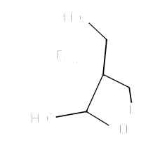 CC[C@@](F)(CF)C(C)C